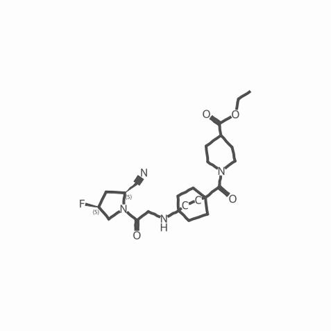 CCOC(=O)C1CCN(C(=O)C23CCC(NCC(=O)N4C[C@@H](F)C[C@H]4C#N)(CC2)CC3)CC1